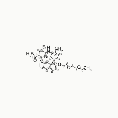 CCOCCOCCOc1ccc2ccc(Nc3nc(NC4CCCC[C@@H]4N)c(F)cc3C(N)=O)cc2n1